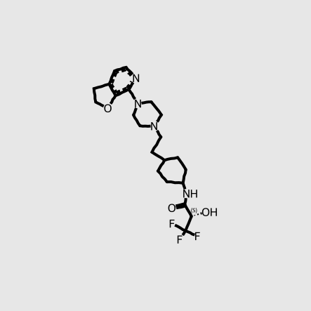 O=C(NC1CCC(CCN2CCN(c3nccc4c3OCC4)CC2)CC1)[C@H](O)C(F)(F)F